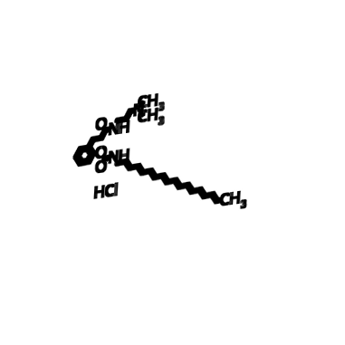 CCCCCCCCCCCCCCCCCCNC(=O)Oc1ccccc1CCC(=O)NCCCN(C)C.Cl